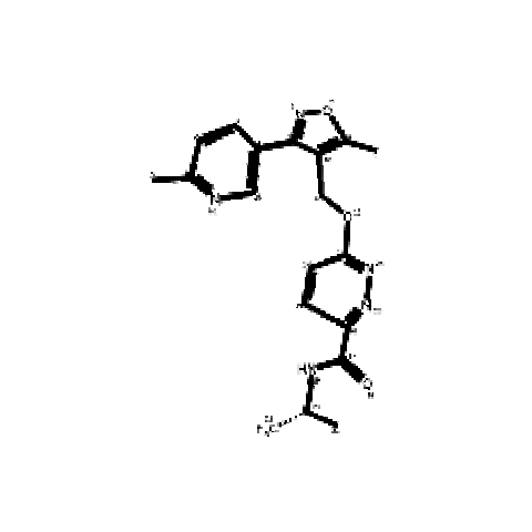 Cc1ccc(-c2noc(C)c2COc2ccc(C(=O)N[C@H](C)C(F)(F)F)nn2)cn1